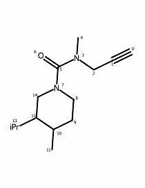 C#CCN(C)C(=O)N1CCC(C)C(C(C)C)C1